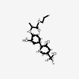 CCCOC(=O)C(C)Oc1ccc(-c2ncc(C(F)(F)Cl)cc2Cl)cc1O